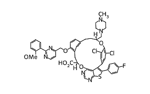 COc1ccccc1-c1nccc(COc2ccc3cc2C[C@@H](C(=O)O)Oc2ncnc4sc(-c5ccc(F)cc5)c(c24)-c2cc(Cl)c(c(Cl)c2)O[C@@H](CN2CCN(C)CC2)CC3)n1